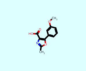 COc1cccc(-c2oc(C)nc2C(=O)O)c1